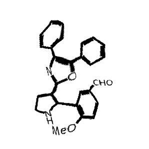 COc1ccc(C=O)cc1C1NCCC1c1nc(-c2ccccc2)c(-c2ccccc2)o1